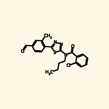 CCCCN(C(=O)c1ccccc1Cl)c1nnc(-c2ccc(C=O)cc2C)s1